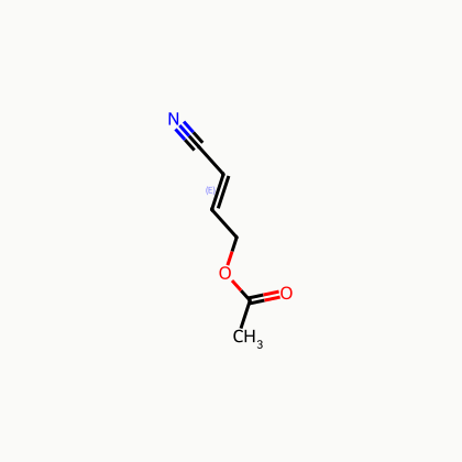 CC(=O)OC/C=C/C#N